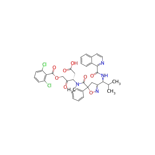 CC(C)[C@H](NC(=O)c1nccc2ccccc12)C1=NOC(C(=O)N(C)[C@@H](CC(=O)O)C(=O)COC(=O)c2c(Cl)cccc2Cl)(c2ccccc2)C1